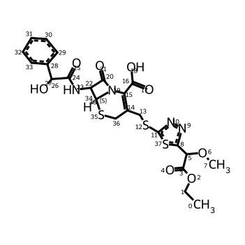 CCOC(=O)C(OC)c1nnc(SCC2=C(C(=O)O)N3C(=O)C(NC(=O)C(O)c4ccccc4)[C@@H]3SC2)s1